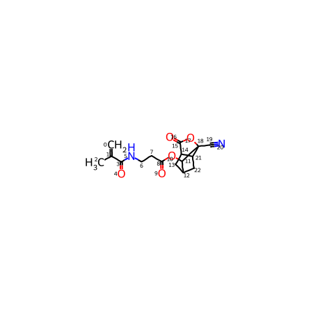 C=C(C)C(=O)NCCC(=O)OC1C2CC3C(=O)OC1(C#N)C3C2